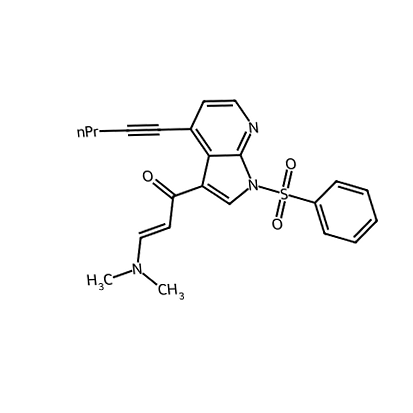 CCCC#Cc1ccnc2c1c(C(=O)C=CN(C)C)cn2S(=O)(=O)c1ccccc1